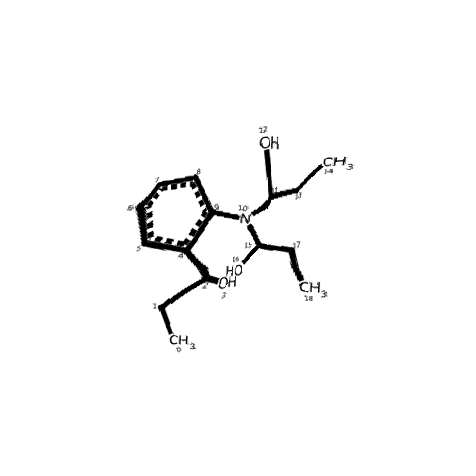 CCC(O)c1ccccc1N(C(O)CC)C(O)CC